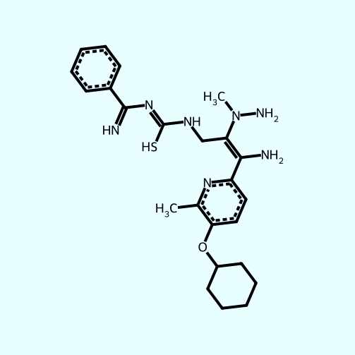 Cc1nc(/C(N)=C(\CN/C(S)=N/C(=N)c2ccccc2)N(C)N)ccc1OC1CCCCC1